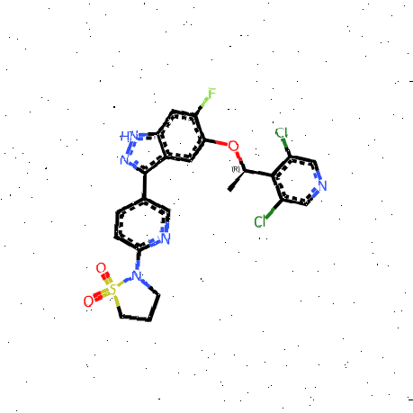 C[C@@H](Oc1cc2c(-c3ccc(N4CCCS4(=O)=O)nc3)n[nH]c2cc1F)c1c(Cl)cncc1Cl